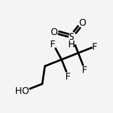 O=[SH](=O)C(F)(F)C(F)(F)CCO